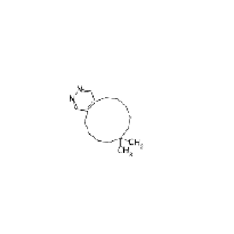 CC1(C)CCCCCc2cnncc2CCCC1